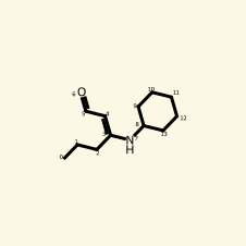 CCCC(=CC=O)NC1CCCCC1